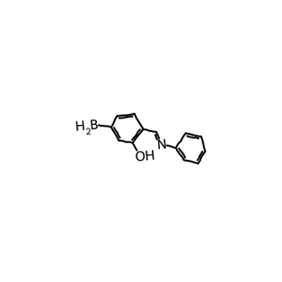 Bc1ccc(/C=N/c2ccccc2)c(O)c1